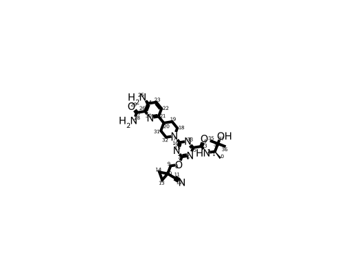 C[C@@H](NC(=O)c1nc(OCC2(C#N)CC2)nc(N2CCC(c3ccc(N)c(C(N)=O)n3)CC2)n1)C(C)(C)O